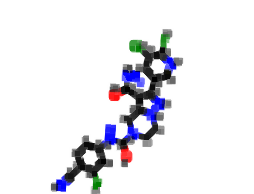 N#Cc1ccc(NC(=O)N2CCn3nc(-c4cnc(F)c(Cl)c4)c(C(N)=O)c3C2)cc1F